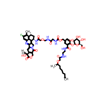 C#CCCCCCC(C)OCC(=O)NCCNC(=O)c1cc(COC(=O)NCC(=O)NCOCC(=O)N[C@H]2CCc3c(C)c(F)cc4nc5c(c2c34)Cn2c-5cc3c(c2=O)COC(=O)[C@]3(O)CC)ccc1O[C@H]1O[C@H](CO)[C@@H](O)[C@H](O)[C@H]1O